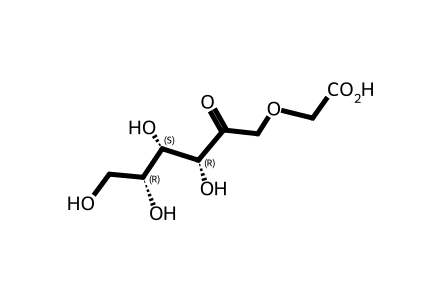 O=C(O)COCC(=O)[C@H](O)[C@@H](O)[C@H](O)CO